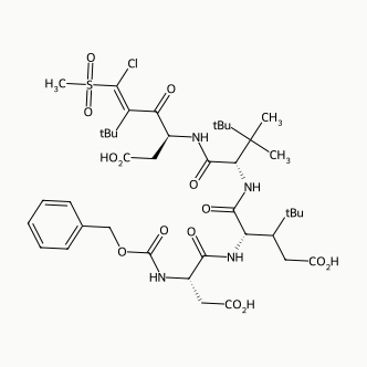 CC(C)(C)C(C(=O)[C@H](CC(=O)O)NC(=O)[C@@H](NC(=O)[C@@H](NC(=O)[C@H](CC(=O)O)NC(=O)OCc1ccccc1)C(CC(=O)O)C(C)(C)C)C(C)(C)C(C)(C)C)=C(Cl)S(C)(=O)=O